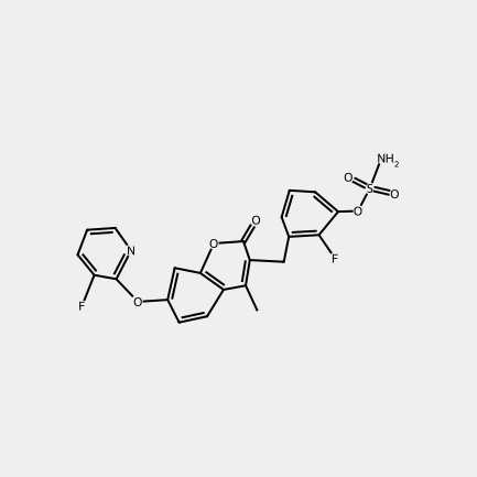 Cc1c(Cc2cccc(OS(N)(=O)=O)c2F)c(=O)oc2cc(Oc3ncccc3F)ccc12